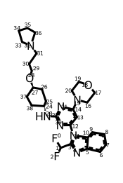 FC(F)c1nc2ccccc2n1-c1cc(N2CCOCC2)nc(N[C@H]2CC[C@H](OCCCN3CCCC3)CC2)n1